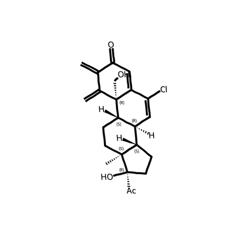 C=C1C(=C)[C@@]2(CO)C(=CC1=O)C(Cl)=C[C@@H]1[C@@H]2CC[C@@]2(C)[C@H]1CC[C@]2(O)C(C)=O